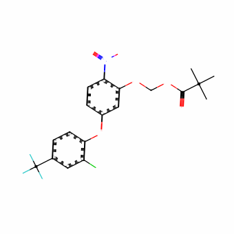 CC(C)(C)C(=O)OCOc1cc(Oc2ccc(C(F)(F)F)cc2Cl)ccc1[N+](=O)[O-]